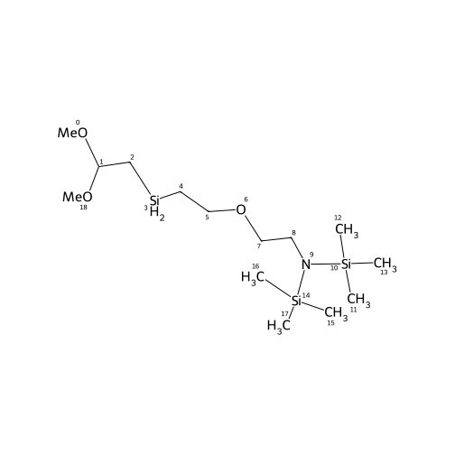 COC(C[SiH2]CCOCCN([Si](C)(C)C)[Si](C)(C)C)OC